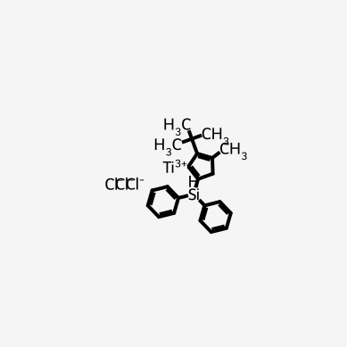 CC1=C(C(C)(C)C)[C]([Ti+3])=C([SiH](c2ccccc2)c2ccccc2)C1.[Cl-].[Cl-].[Cl-]